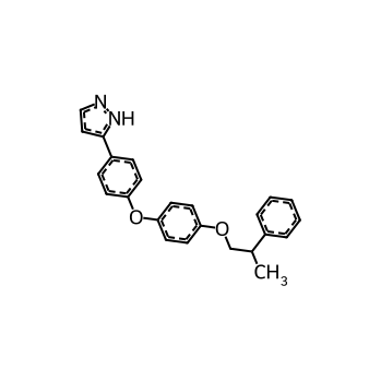 CC(COc1ccc(Oc2ccc(-c3ccn[nH]3)cc2)cc1)c1ccccc1